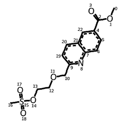 COC(=O)c1ccc2nc(COCCOS(C)(=O)=O)ccc2c1